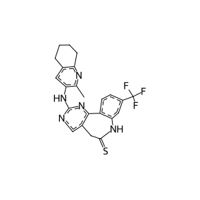 Cc1nc2c(cc1Nc1ncc3c(n1)-c1ccc(C(F)(F)F)cc1NC(=S)C3)CCCC2